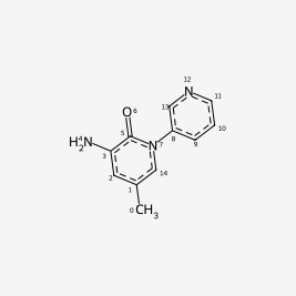 Cc1cc(N)c(=O)n(-c2cccnc2)c1